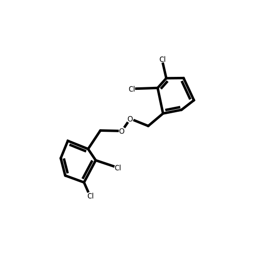 Clc1cccc(COOCc2cccc(Cl)c2Cl)c1Cl